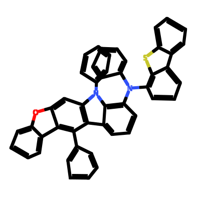 c1ccc(-c2c3c(cc4c2c2cccc(N(c5ccccc5)c5cccc6c5sc5ccccc56)c2n4-c2ccccc2)oc2ccccc23)cc1